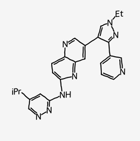 CCn1cc(-c2cnc3ccc(Nc4cc(C(C)C)cnn4)nc3c2)c(-c2cccnc2)n1